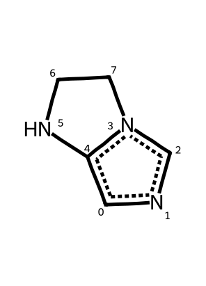 c1ncn2c1NCC2